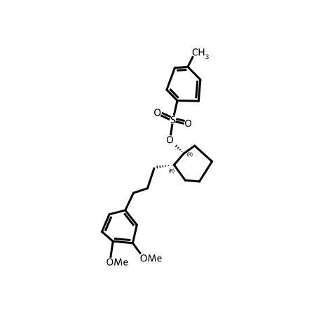 COc1ccc(CCC[C@H]2CCCC[C@H]2OS(=O)(=O)c2ccc(C)cc2)cc1OC